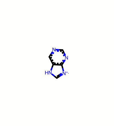 C1=[N+]c2ncncc2N1